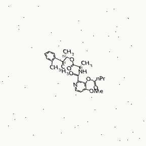 CCCC(=O)Oc1c(OC)ccnc1C(=O)N[C@@H](C)C(=O)O[C@@H](C)[C@@H](C)c1ccccc1C